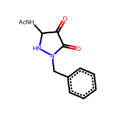 CC(=O)NC1NN(Cc2ccccc2)C(=O)C1=O